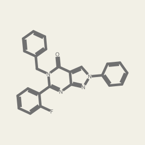 O=c1c2cn(-c3ccccc3)nc2nc(-c2ccccc2F)n1Cc1ccccc1